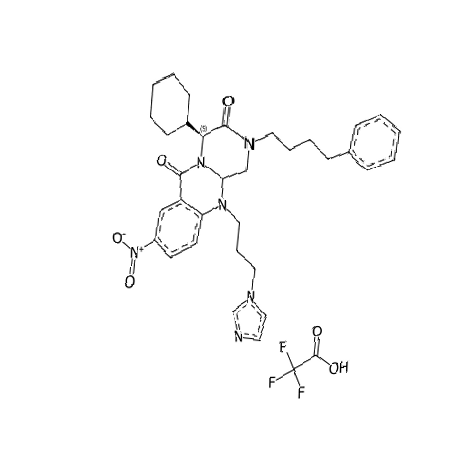 O=C(O)C(F)(F)F.O=C1[C@H](C2CCCCC2)N2C(=O)c3cc([N+](=O)[O-])ccc3N(CCCn3ccnc3)C2CN1CCCCc1ccccc1